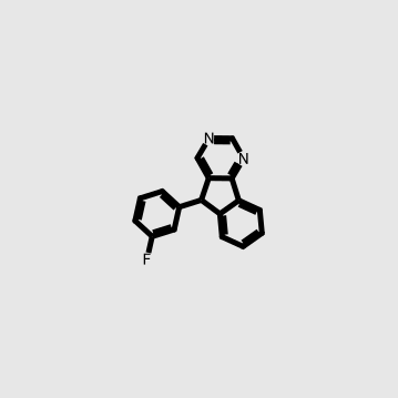 Fc1cccc(C2c3ccccc3-c3ncncc32)c1